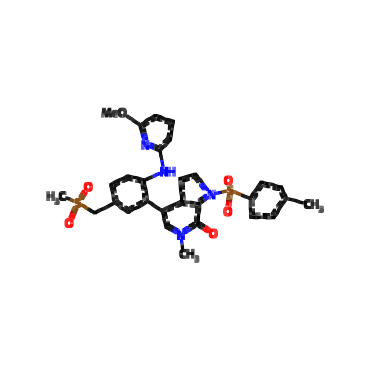 COc1cccc(Nc2ccc(CS(C)(=O)=O)cc2-c2cn(C)c(=O)c3c2ccn3S(=O)(=O)c2ccc(C)cc2)n1